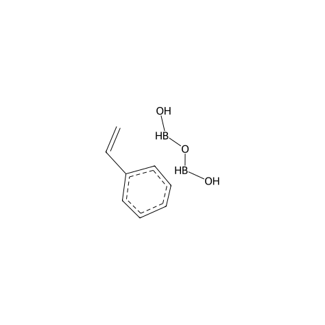 C=Cc1ccccc1.OBOBO